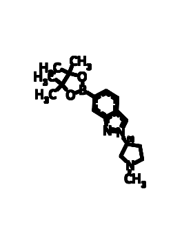 CN1CC[C@H](n2cc3ccc(B4OC(C)(C)C(C)(C)O4)cc3n2)C1